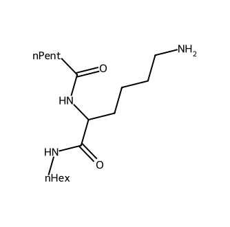 CCCCCCNC(=O)C(CCCCN)NC(=O)CCCCC